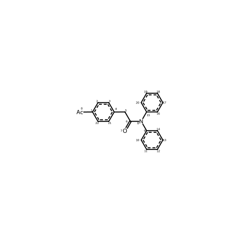 CC(=O)c1ccc(CC(=O)N(c2ccccc2)c2ccccc2)cc1